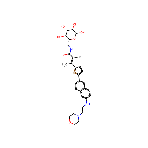 C/C(=C(/C#N)C(=O)NC[C@H]1OC(O)[C@H](O)[C@@H](O)[C@@H]1O)c1ccc(-c2ccc3cc(NCCN4CCOCC4)ccc3c2)s1